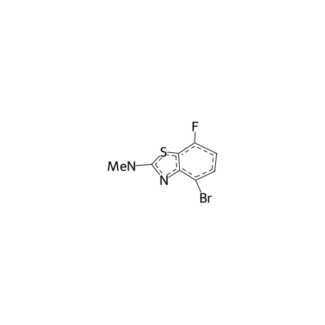 CNc1nc2c(Br)ccc(F)c2s1